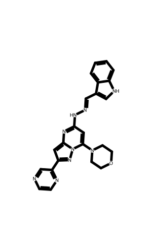 C(=N\Nc1cc(N2CCOCC2)n2nc(-c3cnccn3)cc2n1)/c1c[nH]c2ccccc12